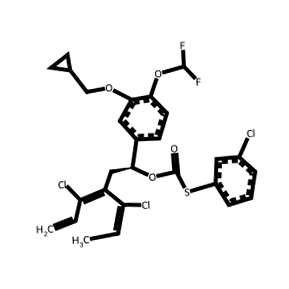 C=C/C(Cl)=C(C[C@H](OC(=O)Sc1cccc(Cl)c1)c1ccc(OC(F)F)c(OCC2CC2)c1)\C(Cl)=C/C